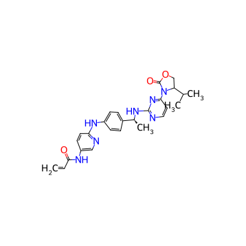 C=CC(=O)Nc1ccc(Nc2ccc([C@H](C)Nc3nccc(N4C(=O)OCC4C(C)C)n3)cc2)nc1